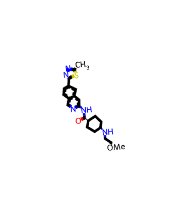 COCCN[C@H]1CC[C@H](C(=O)Nc2cc3cc(-c4nnc(C)s4)ccc3cn2)CC1